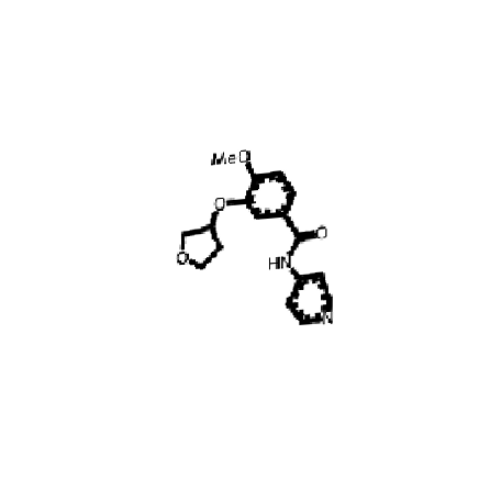 COc1ccc(C(=O)Nc2ccncc2)cc1OC1CCOC1